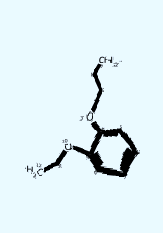 [CH2]CCOc1ccccc1OC[CH2]